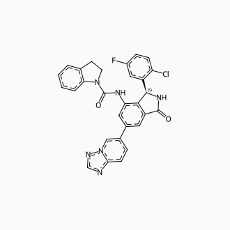 O=C1N[C@H](c2cc(F)ccc2Cl)c2c(NC(=O)N3CCc4ccccc43)cc(-c3ccc4ncnn4c3)cc21